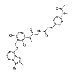 CC(=O)N(C)c1ccc(/C=C/C(=O)NCC(=O)N(C)c2ccc(Cl)c(COc3cccn4c(Br)c(C)nc34)c2Cl)cc1